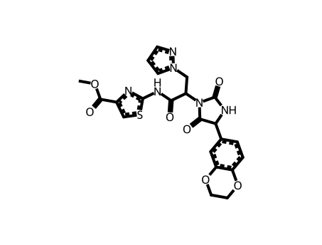 COC(=O)c1csc(NC(=O)C(Cn2cccn2)N2C(=O)NC(c3ccc4c(c3)OCCO4)C2=O)n1